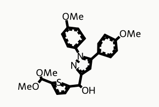 COc1ccc(-c2cc(C(O)c3ccc(C(OC)OC)s3)nn2-c2ccc(OC)cc2)cc1